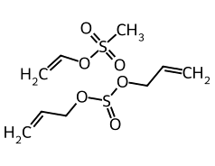 C=CCOS(=O)OCC=C.C=COS(C)(=O)=O